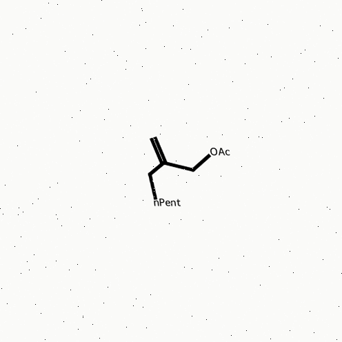 C=C(CCCCCC)COC(C)=O